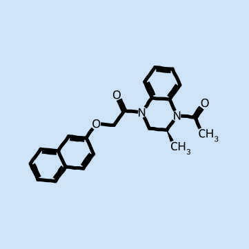 CC(=O)N1c2ccccc2N(C(=O)COc2ccc3ccccc3c2)C[C@@H]1C